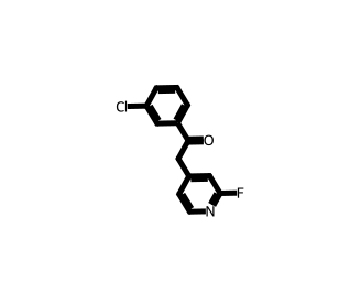 O=C(Cc1ccnc(F)c1)c1cccc(Cl)c1